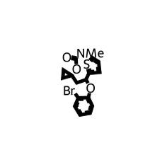 CNC(=O)OC1(CC(Oc2ccccc2Br)c2cccs2)CC1